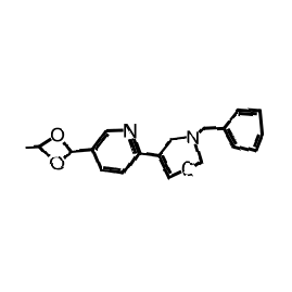 CC1OC(c2ccc(C3=CCCN(Cc4ccccc4)C3)nc2)O1